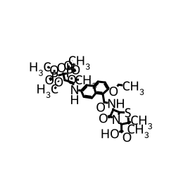 CCOc1ccc2cc(NCCC(O)(P(=O)(OC)OC)P(=O)(OC)OC)ccc2c1C(=O)NC1C(=O)N2C1SC(C)(C)C2C(=O)O